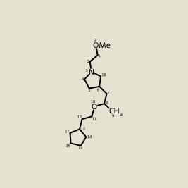 COCCN1CCC(CC(C)OCCC2CCCC2)C1